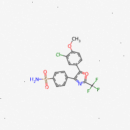 COc1ccc(-c2oc(C(F)(F)F)nc2-c2ccc(S(N)(=O)=O)cc2)cc1Cl